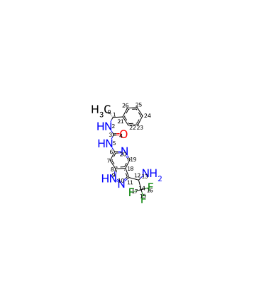 C[C@@H](NC(=O)Nc1cc2[nH]nc(C(N)C(F)(F)F)c2cn1)c1ccccc1